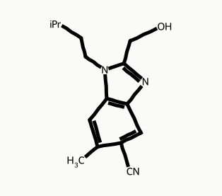 Cc1cc2c(cc1C#N)nc(CO)n2CCC(C)C